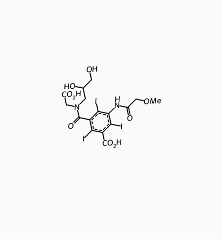 COCC(=O)Nc1c(I)c(C(=O)O)c(I)c(C(=O)N(CC(=O)O)CC(O)CO)c1I